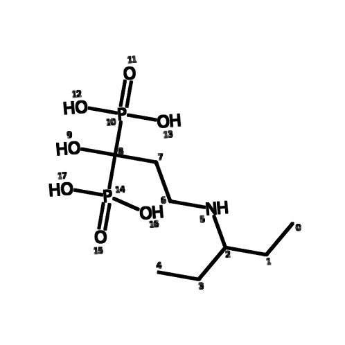 CCC(CC)NCCC(O)(P(=O)(O)O)P(=O)(O)O